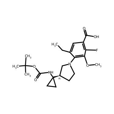 CCc1cc(C(=O)O)c(F)c(OC)c1N1CC[C@@H](C2(NC(=O)OC(C)(C)C)CC2)C1